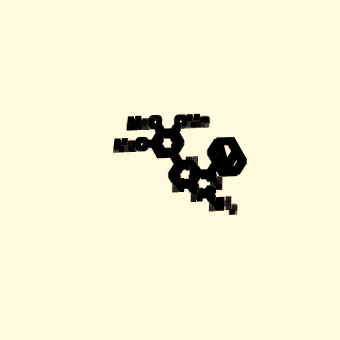 COc1cc(-c2cnc3nc(N)nc(C45CC6CC(CC(C6)C4)C5)c3n2)cc(OC)c1OC